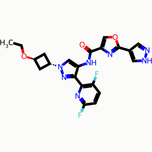 CCO[C@H]1C[C@H](n2cc(NC(=O)c3coc(-c4cn[nH]c4)n3)c(-c3nc(F)ccc3F)n2)C1